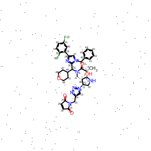 C[C@H](O)C(=O)N(C[C@@H]1CNC[C@H]1n1cc(CN2C(=O)C=CC2=O)nn1)C(c1nc(-c2cc(F)ccc2F)cn1Cc1ccccc1)C1CCOCC1